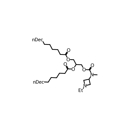 CCCCCCCCCCCCCCCC(=O)OCC(COC(=O)N(C)C1CN(CC)C1)OC(=O)CCCCCCCCCCCCCCC